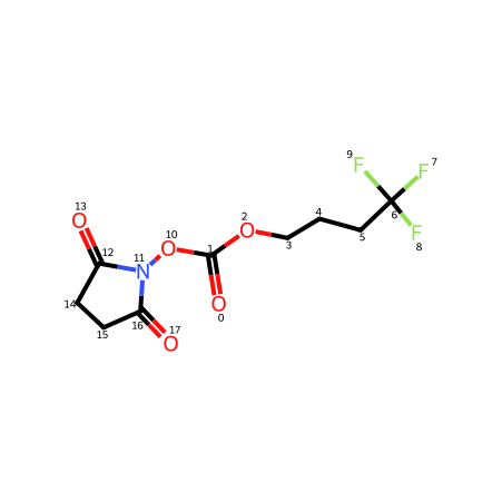 O=C(OCCCC(F)(F)F)ON1C(=O)CCC1=O